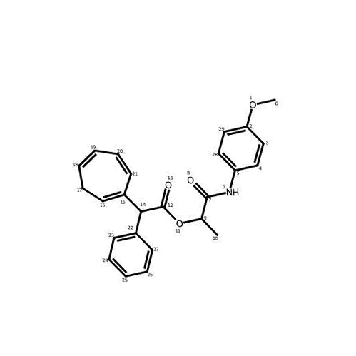 COc1ccc(NC(=O)C(C)OC(=O)C(C2=CCC=CC=C2)c2ccccc2)cc1